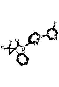 O=C(Nc1ccn(-c2cncc(F)c2)n1)[C@@]1(c2ccccc2)CC1(F)F